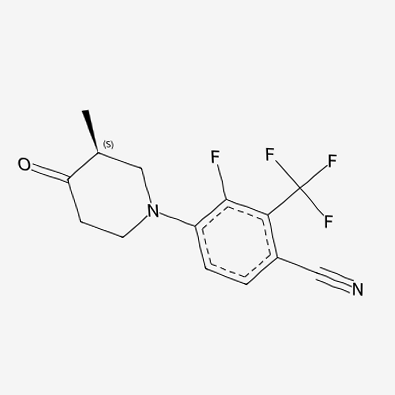 C[C@H]1CN(c2ccc(C#N)c(C(F)(F)F)c2F)CCC1=O